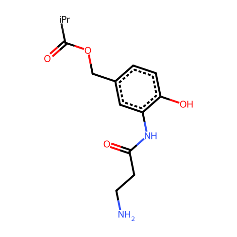 CC(C)C(=O)OCc1ccc(O)c(NC(=O)CCN)c1